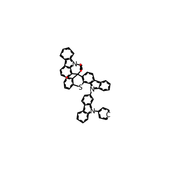 c1ccc(-n2c3ccccc3c3ccc(-n4c5ccccc5c5ccc6c(c54)Sc4ccccc4C64c5ccccc5-n5c6ccccc6c6cccc4c65)cc32)cc1